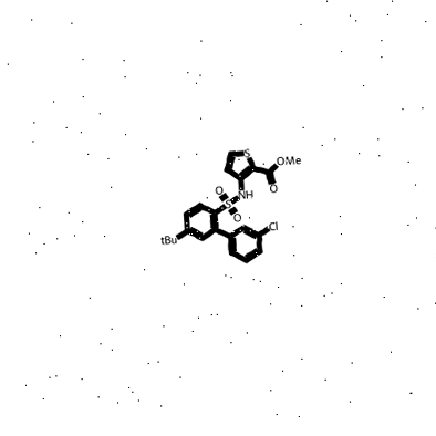 COC(=O)c1sccc1NS(=O)(=O)c1ccc(C(C)(C)C)cc1-c1cccc(Cl)c1